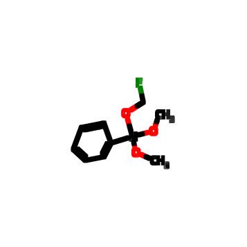 CO[Si](OC)(OCF)c1ccccc1